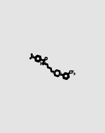 CN(C)c1ccc(C(=O)NCCCCN2CCN(c3cccc(C(F)(F)F)c3)CC2)cc1